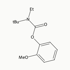 CCN(C(=O)Oc1ccccc1OC)C(C)(C)C